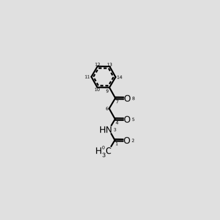 CC(=O)NC(=O)CC(=O)c1ccccc1